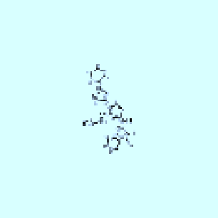 CC(NC(=O)Nc1ccc(-c2cnc(C3CCCCC3)s2)c(SNC(C)(C)C)c1)c1ccccc1